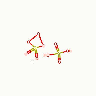 O=S(=O)(O)O.O=S1(=O)OOO1.[Ti]